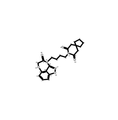 O=C1CC2(CCCC2)CC(=O)N1CCCCN1C(=O)COc2cccc3onc1c23